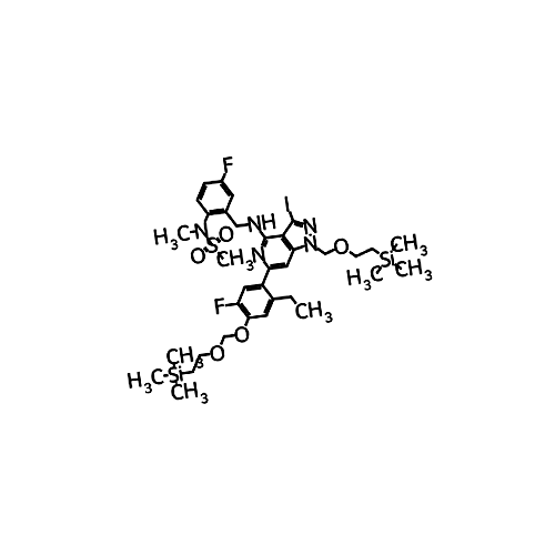 CCc1cc(OCOCC[Si](C)(C)C)c(F)cc1-c1cc2c(c(I)nn2COCC[Si](C)(C)C)c(NCc2cc(F)ccc2N(C)S(C)(=O)=O)n1